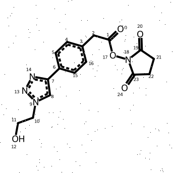 O=C(Cc1ccc(-c2cn(CCO)nn2)cc1)ON1C(=O)CCC1=O